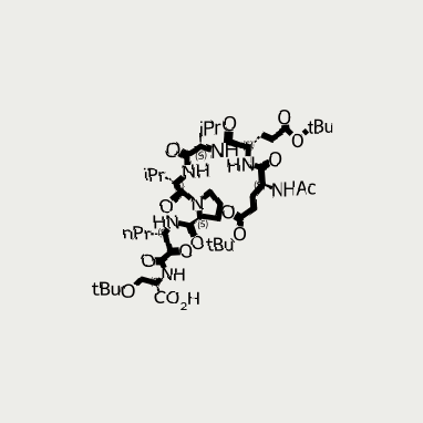 CCC[C@H](NC(=O)[C@@H]1CCCN1C(=O)[C@@H](NC(=O)[C@@H](NC(=O)[C@H](CCC(=O)OC(C)(C)C)NC(=O)[C@H](CCC(=O)OC(C)(C)C)NC(C)=O)C(C)C)C(C)C)C(=O)C(=O)N[C@@H](COC(C)(C)C)C(=O)O